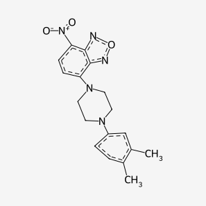 Cc1ccc(N2CCN(c3ccc([N+](=O)[O-])c4nonc34)CC2)cc1C